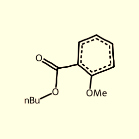 [CH2]CCCOC(=O)c1ccccc1OC